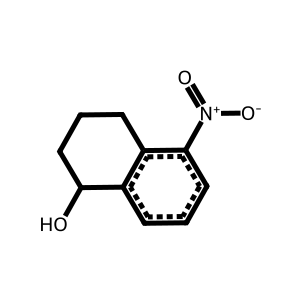 O=[N+]([O-])c1cccc2c1CCCC2O